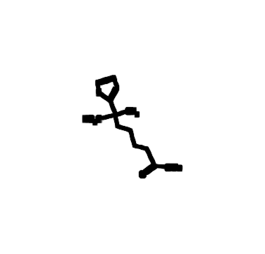 COC(=O)CCCCC(C)(C(=O)O)c1cccs1